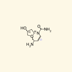 NC(=O)N(/C=C\C(N)I)[C@H]1C[C@H](O)CO1